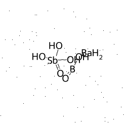 O=BO.[BaH2].[O]=[Sb]([OH])([OH])[OH]